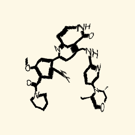 COc1cc(-c2cc(Nc3ccc(N4[C@H](C)COC[C@H]4C)cn3)c3c(=O)[nH]ccc3n2)c(F)cc1C(=O)N1CCCCC1